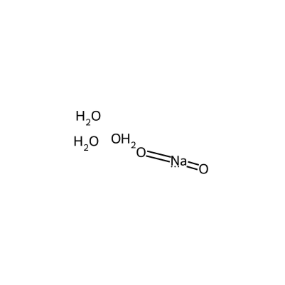 O.O.O.[O]=[Na]=[O]